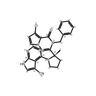 C[C@@]1(c2nn3ccc(Cl)c3c(=O)n2Cc2ccccc2)CCCN1c1ncnc2[nH]cc(C#N)c12